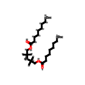 CCCCCCCCCCCCCCCCCC(=O)OC[C](C)(C)[Sn][C](C)(C)COC(=O)CCCCCCCCCCCCCCCCC